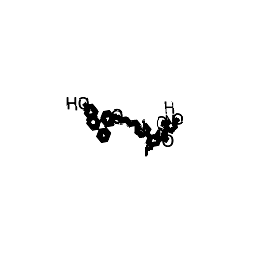 O=C1CCC(N2Cc3c(cc(F)cc3C3CCN(CCCCOc4ccc([C@@H]5c6ccc(O)cc6CC[C@@H]5c5ccccc5)cc4)CC3)C2=O)C(=O)N1